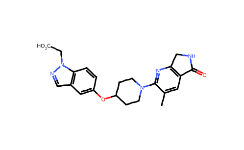 Cc1cc2c(nc1N1CCC(Oc3ccc4c(cnn4CC(=O)O)c3)CC1)CNC2=O